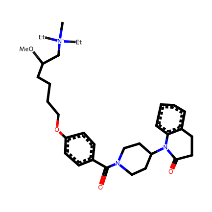 CC[N+](C)(CC)CC(CCCCOc1ccc(C(=O)N2CCC(N3C(=O)CCc4ccccc43)CC2)cc1)OC